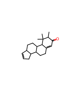 CC1C(=O)C=C2CCC3C4CC=CC4CCC3C2C1(C)C